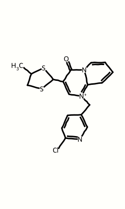 CC1CSC(c2c[n+](Cc3ccc(Cl)nc3)c3ccccn3c2=O)S1